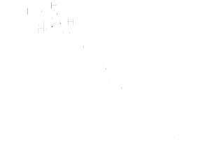 CCCCCCCCCCCCCCOCCOCCOCCOCCOCCCOC[C@H](O)[C@@H](O)[C@H](O)[C@H](O)CO